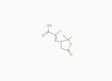 CC(=CC1CC(=O)OC1(C)C)C(=O)O